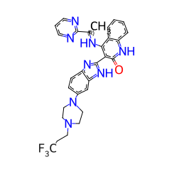 C[C@@H](Nc1c(-c2nc3ccc(N4CCN(CCC(F)(F)F)CC4)cc3[nH]2)c(=O)[nH]c2ccccc12)c1ncccn1